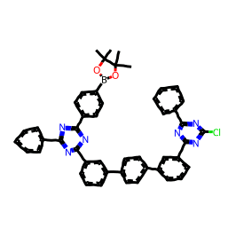 CC1(C)OB(c2ccc(-c3nc(-c4ccccc4)nc(-c4cccc(-c5ccc(-c6cccc(-c7nc(Cl)nc(-c8ccccc8)n7)c6)cc5)c4)n3)cc2)OC1(C)C